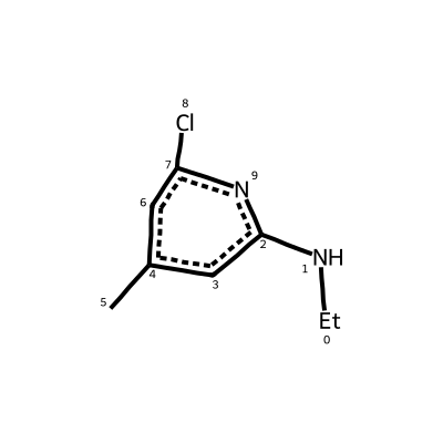 CCNc1cc(C)cc(Cl)n1